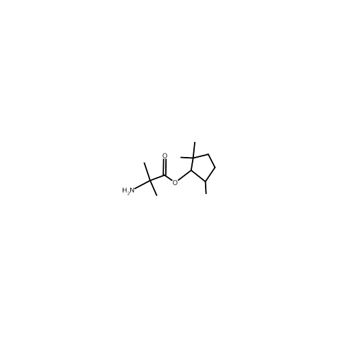 CC1CCC(C)(C)C1OC(=O)C(C)(C)N